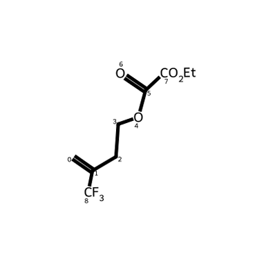 C=C(CCOC(=O)C(=O)OCC)C(F)(F)F